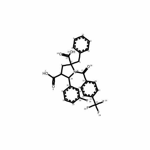 O=C(O)C1CC(Cc2ccccc2)(C(=O)O)N(C(=O)c2ccc(C(F)(F)F)cc2)C1c1cccc(F)c1